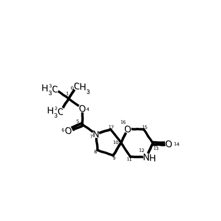 CC(C)(C)OC(=O)N1CCC2(CNC(=O)CO2)C1